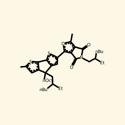 CCCCCCCCC1(CC(CC)CCCC)c2cc(C)sc2-c2sc(-c3oc(C)c4c3C(=O)N(CC(CC)CCCC)C4=O)cc21